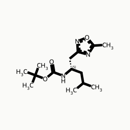 Cc1nc(C[C@H](CC(C)C)NC(=O)OC(C)(C)C)no1